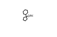 CC(=O)OC1(C2CCCCC2)CCCC1